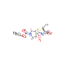 Cc1sc(C2(O)CCN(C(=O)OC(C)(C)C)CC2)nc1Br